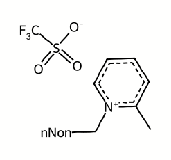 CCCCCCCCCC[n+]1ccccc1C.O=S(=O)([O-])C(F)(F)F